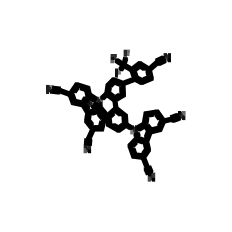 N#Cc1ccc(-c2ccc(-n3c4ccc(C#N)cc4c4cc(C#N)ccc43)c(-c3cc(-n4c5ccc(C#N)cc5c5cc(C#N)ccc54)ccc3C#N)c2)c(C(F)(F)F)c1